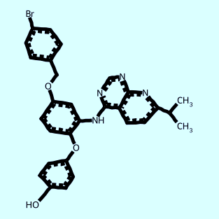 CC(C)c1ccc2c(Nc3cc(OCc4ccc(Br)cc4)ccc3Oc3ccc(O)cc3)ncnc2n1